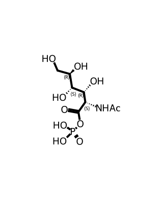 CC(=O)N[C@H](C(=O)OP(=O)(O)O)[C@@H](O)[C@H](O)[C@H](O)CO